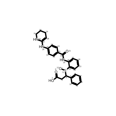 O=C(O)CC(c1ccccc1)[S+]([O-])c1ccccc1NC(=O)c1ccc(NC2=CCCCN2)cc1